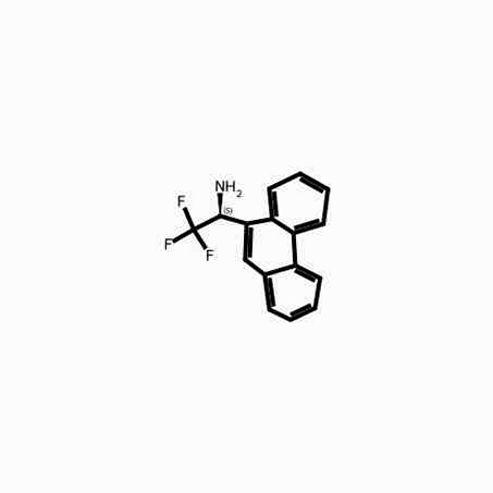 N[C@@H](c1cc2ccccc2c2ccccc12)C(F)(F)F